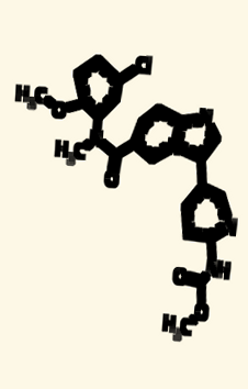 COC(=O)Nc1ccc(-c2cnc3ccc(C(=O)N(C)c4cc(Cl)ccc4OC)cn23)cn1